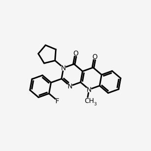 Cn1c2ccccc2c(=O)c2c(=O)n(C3CCCC3)c(-c3ccccc3F)nc21